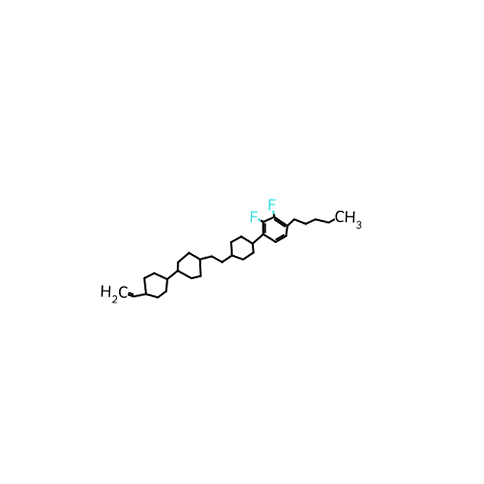 C=CC1CCC(C2CCC(CCC3CCC(c4ccc(CCCCC)c(F)c4F)CC3)CC2)CC1